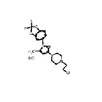 Cc1cc(N2CCN(CCCl)CC2)nn1-c1ccc2c(c1)OC(F)(F)O2.Cl